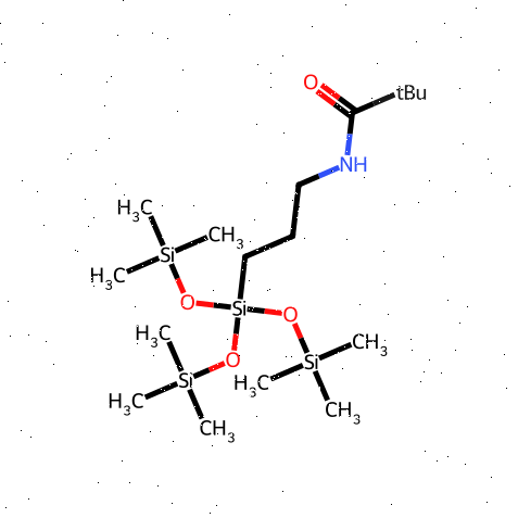 CC(C)(C)C(=O)NCCC[Si](O[Si](C)(C)C)(O[Si](C)(C)C)O[Si](C)(C)C